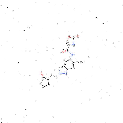 COc1cc2nn(CCC3CCCC3=O)cc2cc1NC(=O)c1coc(Br)n1